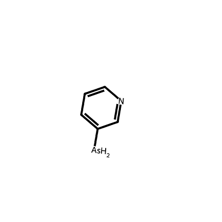 [AsH2]c1cccnc1